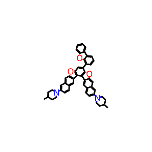 CC1CCN(c2ccc3cc4c(cc3c2)oc2cc(-c3cccc5c3oc3ccccc35)c3oc5cc6cc(N7CCC(C)CC7)ccc6cc5c3c24)CC1